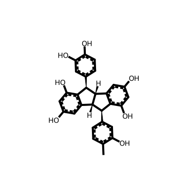 Cc1ccc([C@@H]2c3c(O)cc(O)cc3[C@H]3[C@H](c4ccc(O)c(O)c4)c4c(O)cc(O)cc4[C@@H]23)cc1O